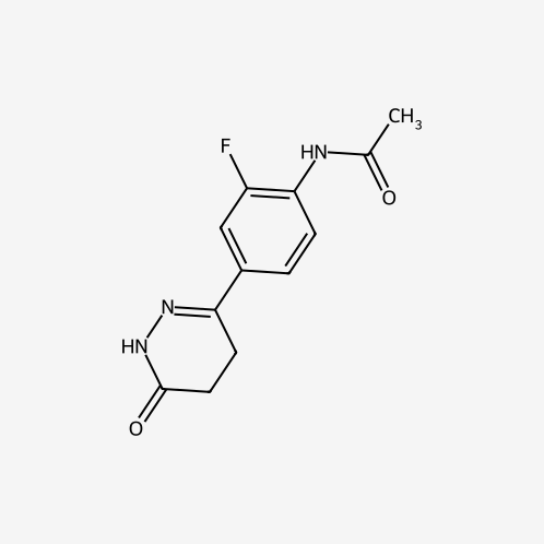 CC(=O)Nc1ccc(C2=NNC(=O)CC2)cc1F